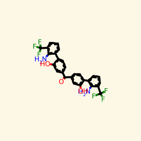 Nc1c(-c2ccc(C(=O)c3ccc(-c4cccc(C(F)(F)F)c4N)c(O)c3)cc2O)cccc1C(F)(F)F